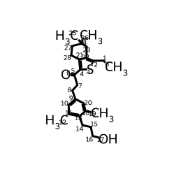 CCc1sc(C(=O)CCc2cc(C)c(CCCO)c(C)c2)c2c1CC(C)(C)CC2